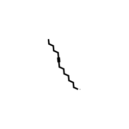 [CH2]CCCCCCCC#CCCCCC